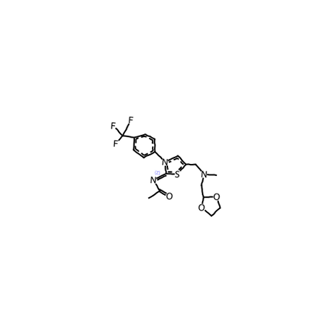 CC(=O)/N=c1\sc(CN(C)CC2OCCO2)cn1-c1ccc(C(F)(F)F)cc1